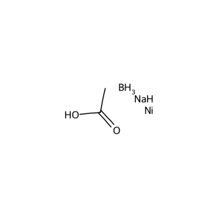 B.CC(=O)O.[NaH].[Ni]